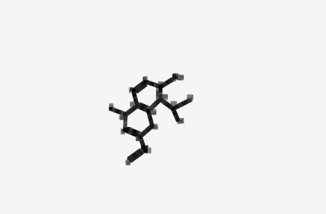 C=NC1=CC(C)c2ccc(F)c(C(C)C)c2C1